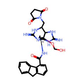 N=C1NC2C(CN3C(=O)CCC3=O)NC(=N)N3C[C@H](NC(=O)c4cccc5c4-c4ccccc4C5)C(OCO)C23N1